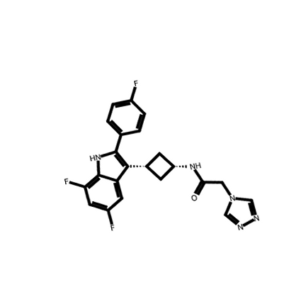 O=C(Cn1cnnc1)N[C@H]1C[C@@H](c2c(-c3ccc(F)cc3)[nH]c3c(F)cc(F)cc32)C1